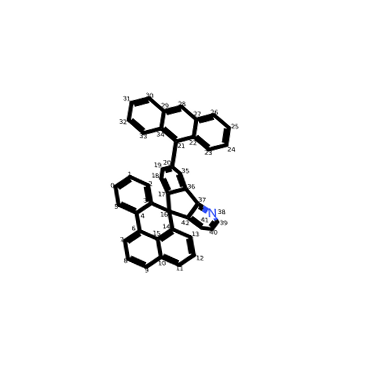 c1ccc2c(c1)-c1cccc3cccc(c13)C21c2ccc(-c3c4ccccc4cc4ccccc34)cc2-c2ncccc21